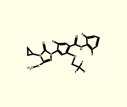 CCc1nn(-c2cc(OCC(F)(F)F)c(C(=O)Nc3c(F)cccc3F)cc2F)c(=O)n1C1CC1